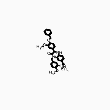 COc1ccc(CNC(=O)C(Nc2ccc(C#N)cc2)c2ccc(OCc3ccccc3)c(OC)c2)cc1OC